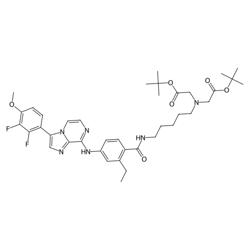 CCc1cc(Nc2nccn3c(-c4ccc(OC)c(F)c4F)cnc23)ccc1C(=O)NCCCCCN(CC(=O)OC(C)(C)C)CC(=O)OC(C)(C)C